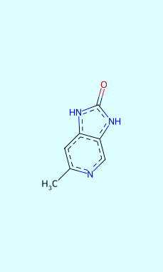 Cc1cc2[nH]c(=O)[nH]c2cn1